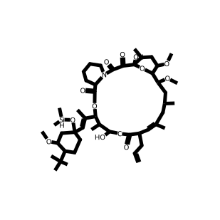 C=CCC1C=C(C)CC(C)CC(OC)C2OC(O)(C(=O)C(=O)N3CCCCC3C(=O)OC(C(C)=CC3(O[SiH](C)C)CCC(C(C)(C)C)C(OC)C3)C(C)C(O)CC1=O)C(C)CC2OC